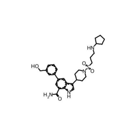 NC(=O)c1cc(-c2cccc(CO)c2)cc2c(C3CCN(S(=O)(=O)CCCNC4CCCC4)CC3)c[nH]c12